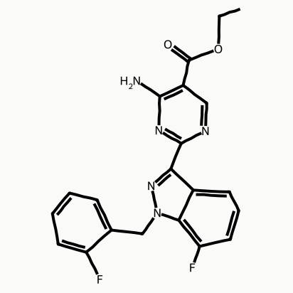 CCOC(=O)c1cnc(-c2nn(Cc3ccccc3F)c3c(F)cccc23)nc1N